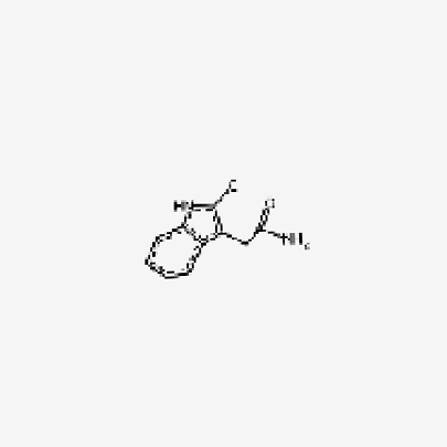 NC(=O)Cc1c(Cl)[nH]c2ccccc12